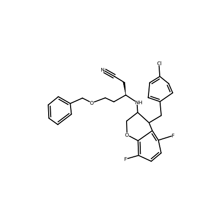 N#CC[C@H](CCOCc1ccccc1)NC1COc2c(F)ccc(F)c2C1Cc1ccc(Cl)cc1